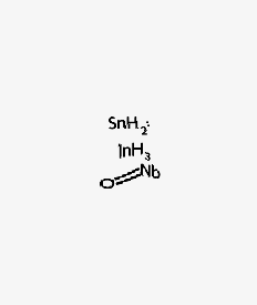 [InH3].[O]=[Nb].[SnH2]